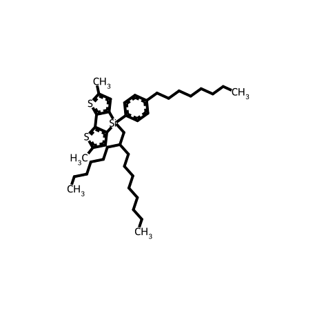 CCCCCCCCc1ccc([Si]2(CC(CCCCCC)CCCCCCCC)c3cc(C)sc3-c3sc(C)cc32)cc1